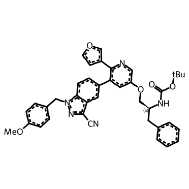 COc1ccc(Cn2nc(C#N)c3cc(-c4cc(OC[C@H](Cc5ccccc5)NC(=O)OC(C)(C)C)cnc4-c4ccoc4)ccc32)cc1